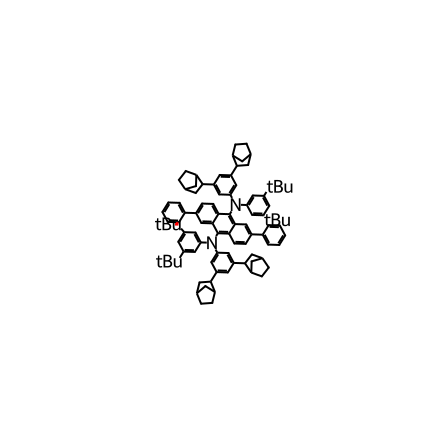 CC(C)(C)c1cc(N(c2cc(C3CC4CCC3C4)cc(C3CC4CCC3C4)c2)c2c3ccc(-c4ccccc4)cc3c(N(c3cc(C4CC5CCC4C5)cc(C4CC5CCC4C5)c3)c3cc(C(C)(C)C)cc(C(C)(C)C)c3)c3ccc(-c4ccccc4)cc23)cc(C(C)(C)C)c1